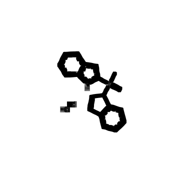 Cl.Cl.[CH2]=[Ti]([CH3])([c]1cc2ccccc2[nH]1)[CH]1C=Cc2ccccc21